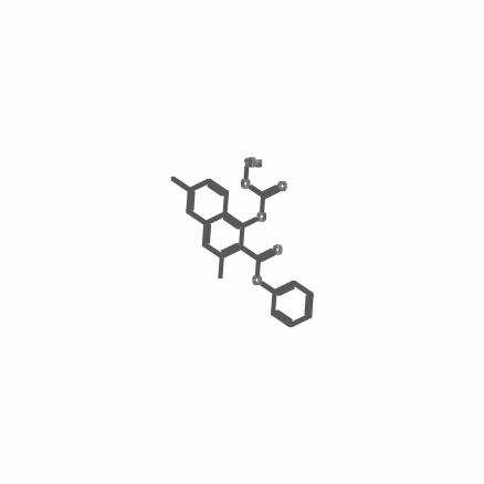 Cc1ccc2c(OC(=O)OC(C)(C)C)c(C(=O)Oc3ccccc3)c(C)cc2c1